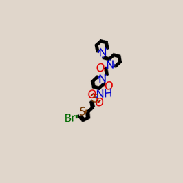 O=C1[C@@H](NS(=O)(=O)/C=C/c2ccc(Br)s2)CCCN1CC(=O)N1CCCCC1CN1CCCCC1